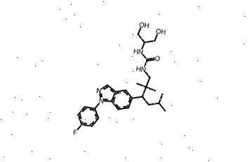 CC(C)CC(c1ccc2c(cnn2-c2ccc(F)cc2)c1)C(C)(C)CNC(=O)NC(CO)CO